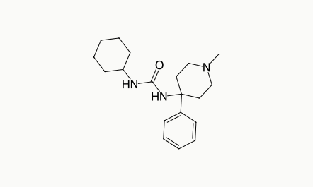 CN1CCC(NC(=O)NC2CCCCC2)(c2ccccc2)CC1